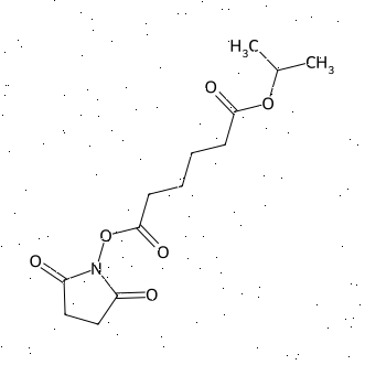 CC(C)OC(=O)CCCCC(=O)ON1C(=O)CCC1=O